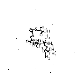 CC(N)(CCC(=O)C(C)(C)C)OCC(C)(C)C(=O)NC(CSC1CCC1SCC(N)C(=O)O)C(=O)O